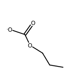 CCCOC([O])=O